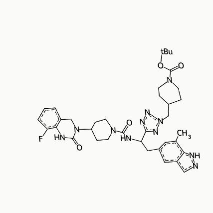 Cc1cc(CC(NC(=O)N2CCC(N3Cc4cccc(F)c4NC3=O)CC2)c2nnn(CC3CCN(C(=O)OC(C)(C)C)CC3)n2)cc2cn[nH]c12